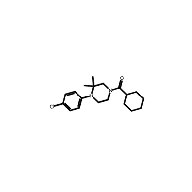 CC1(C)CN(C(=O)C2CCCCC2)CCN1c1ccc(Cl)cc1